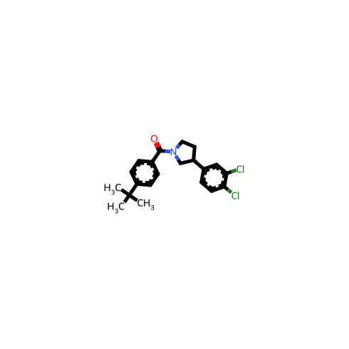 CC(C)(C)c1ccc(C(=O)N2CC[C](c3ccc(Cl)c(Cl)c3)C2)cc1